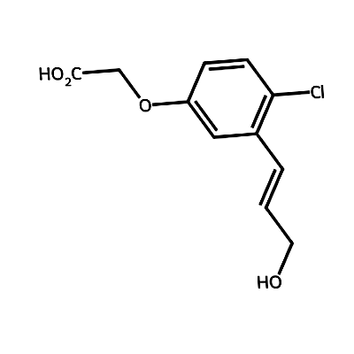 O=C(O)COc1ccc(Cl)c(/C=C/CO)c1